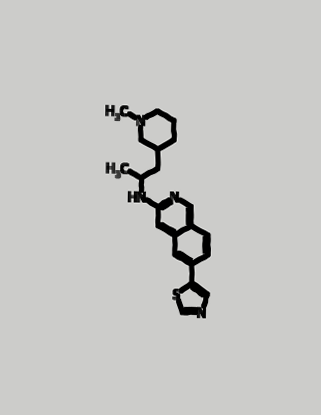 CC(CC1CCCN(C)C1)Nc1cc2cc(-c3cncs3)ccc2cn1